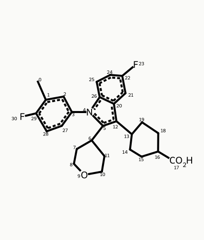 Cc1cc(-n2c(C3CCOCC3)c(C3CCC(C(=O)O)CC3)c3cc(F)ccc32)ccc1F